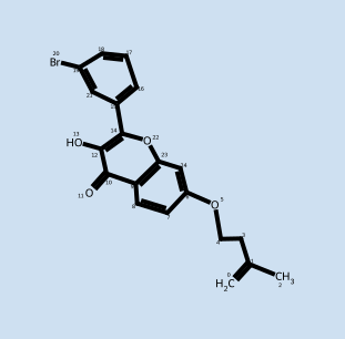 C=C(C)CCOc1ccc2c(=O)c(O)c(-c3cccc(Br)c3)oc2c1